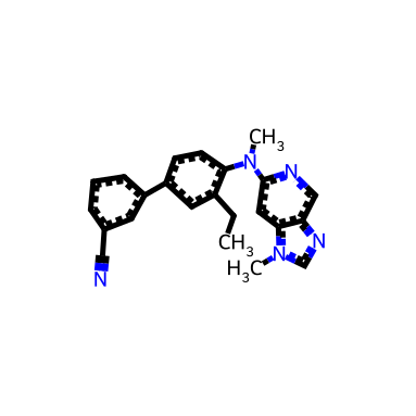 CCc1cc(-c2cccc(C#N)c2)ccc1N(C)c1cc2c(cn1)ncn2C